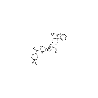 CN1CCN(C(=O)c2ncc(N(C)CC3(NC=O)CCC(c4ccccc4)(N(C)C)CC3)cn2)CC1